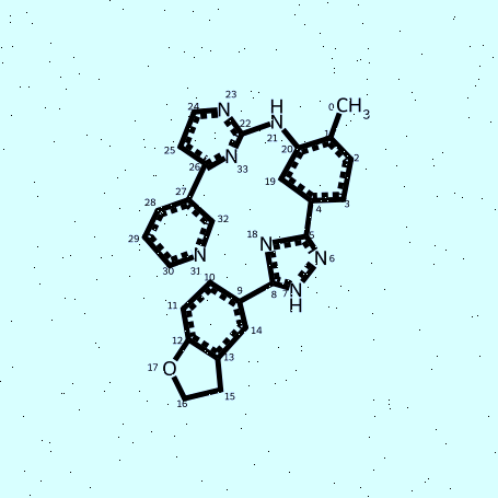 Cc1ccc(-c2n[nH]c(-c3ccc4c(c3)CCO4)n2)cc1Nc1nccc(-c2cccnc2)n1